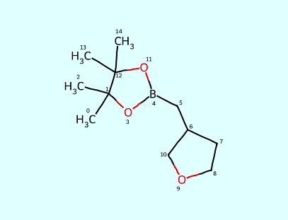 CC1(C)OB(CC2CCOC2)OC1(C)C